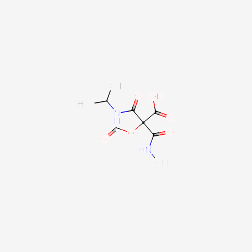 CNC(=O)C(OC=O)(C(=O)O)C(=O)NC(C)C